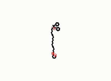 C[C@@H](CCCC#CCCCCCCC#CCCCOC1CCCCO1)O[Si](c1ccccc1)(c1ccccc1)C(C)(C)C